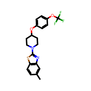 Cc1ccc2sc(N3CCC(Oc4ccc(OC(F)(F)F)cc4)CC3)nc2c1